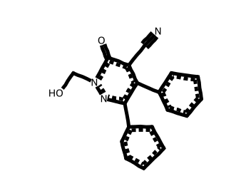 N#Cc1c(-c2ccccc2)c(-c2ccccc2)nn(CO)c1=O